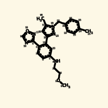 COCCNc1ccc(-c2ncon2)c(-c2cc(C)n(Cc3ccc(C)cc3)n2)c1